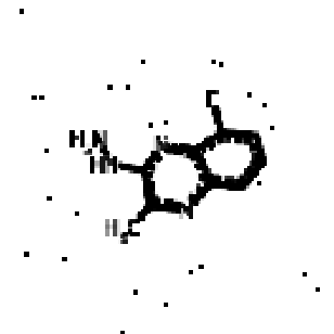 Cc1nc2cccc(F)c2nc1NN